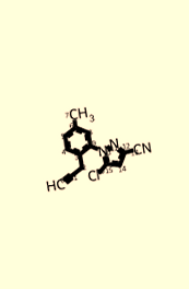 C#CCc1c[c]c(C)cc1-n1nc(C#N)cc1Cl